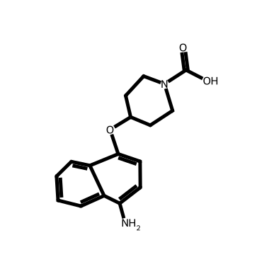 Nc1ccc(OC2CCN(C(=O)O)CC2)c2ccccc12